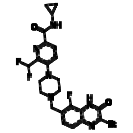 CCc1nc2ccc(CN3CCN(c4ccc(C(=O)NC5CC5)nc4C(F)F)CC3)c(F)c2[nH]c1=O